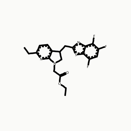 CCOC(=O)CN1CC(Cc2nc3c(F)c(F)cc(F)c3s2)c2ccc(CC)nc21